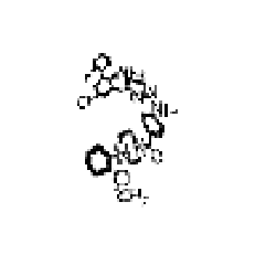 CCOc1ccccc1N1CCN(C(=O)c2ccc(Nc3ncc4c(n3)C=c3cc(Cl)cc(-c5ccccc5F)c3=CN4)cc2)CC1